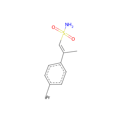 CC(=CS(N)(=O)=O)c1ccc(C(C)C)cc1